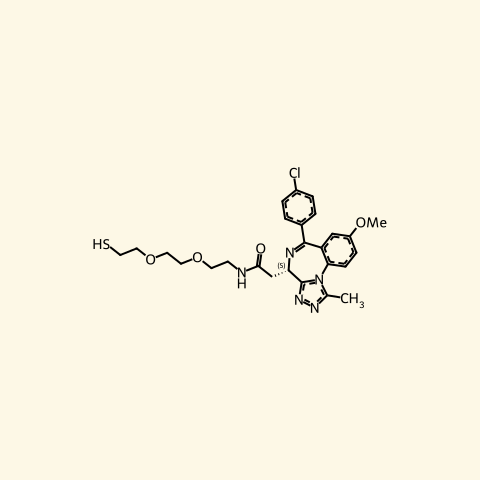 COc1ccc2c(c1)C(c1ccc(Cl)cc1)=N[C@@H](CC(=O)NCCOCCOCCS)c1nnc(C)n1-2